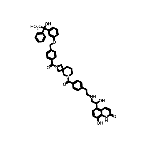 O=C(c1ccc(CCNCC(O)c2ccc(O)c3[nH]c(=O)ccc23)cc1)N1CCCC2(C1)CN(C(=O)c1ccc(COc3cccc(C(O)(C(=O)O)c4ccccc4)c3)cc1)C2